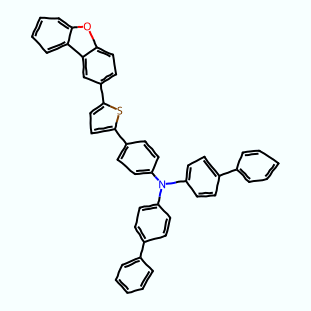 c1ccc(-c2ccc(N(c3ccc(-c4ccccc4)cc3)c3ccc(-c4ccc(-c5ccc6oc7ccccc7c6c5)s4)cc3)cc2)cc1